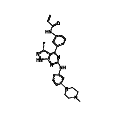 C=CC(=O)Nc1cccc(-c2nc(Nc3cccc(N4CCN(C)CC4)c3)nc3[nH]nc(F)c23)c1